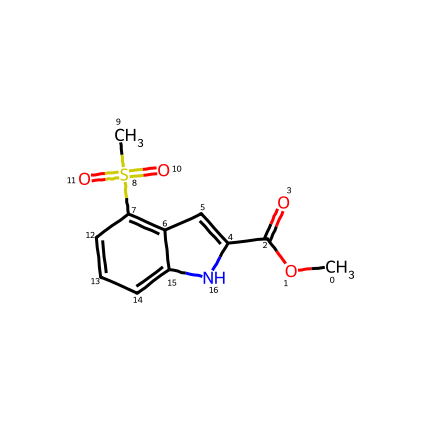 COC(=O)c1cc2c(S(C)(=O)=O)cccc2[nH]1